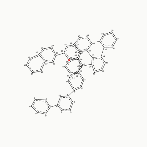 c1ccc(-c2cccc(-c3ccc(N(c4cccc(-c5ccc6ccccc6c5)c4)c4cccc(-c5ccccc5)c4-c4ccccc4-c4ccccc4)cc3)c2)cc1